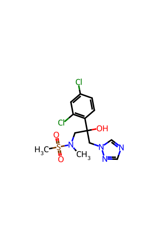 CN(CC(O)(Cn1cncn1)c1ccc(Cl)cc1Cl)S(C)(=O)=O